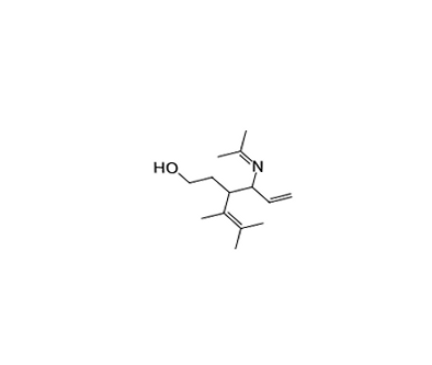 C=CC(N=C(C)C)C(CCO)C(C)=C(C)C